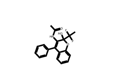 CC(=O)NC1=C(c2ccccc2)c2ccccc2OC1(O)C(C)(F)F